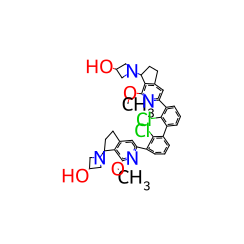 COc1nc(-c2cccc(-c3cccc(-c4cc5c(c(OC)n4)C(N4CC(O)C4)CC5)c3Cl)c2Cl)cc2c1C(N1CC(O)C1)CC2